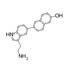 NCCc1c[nH]c2ccc(-c3ccc4cc(O)ccc4c3)cc12